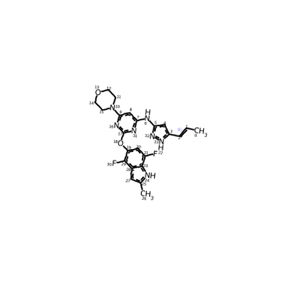 C/C=C/c1cc(Nc2cc(N3CCOCC3)nc(Oc3cc(F)c4[nH]c(C)cc4c3F)n2)n[nH]1